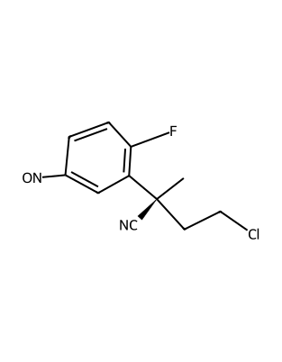 C[C@](C#N)(CCCl)c1cc(N=O)ccc1F